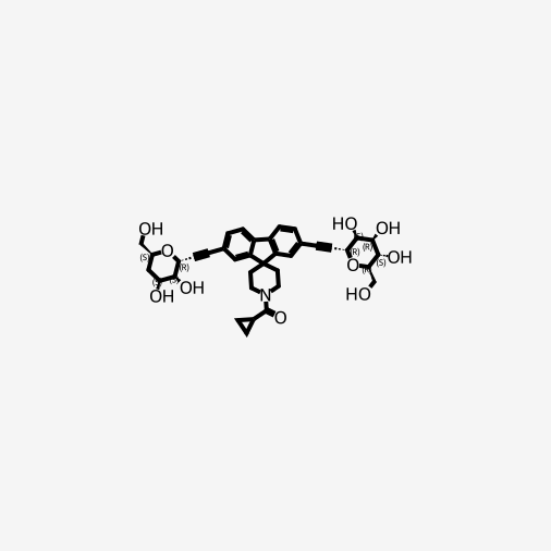 O=C(C1CC1)N1CCC2(CC1)c1cc(C#C[C@H]3O[C@H](CO)[C@@H](O)[C@H](O)[C@@H]3O)ccc1-c1ccc(C#C[C@H]3O[C@H](CO)C[C@H](O)[C@@H]3O)cc12